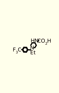 CCC(c1ccc(C(F)(F)F)cc1)N1CCC(NC(=O)O)CC1